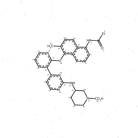 CCC(=O)Nc1cccc2c(Oc3ncccc3-c3ccnc(NC4CCCN(C(=O)O)C4)n3)c(C)ccc12